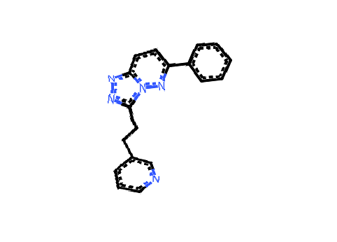 c1ccc(-c2ccc3nnc(CCc4cccnc4)n3n2)cc1